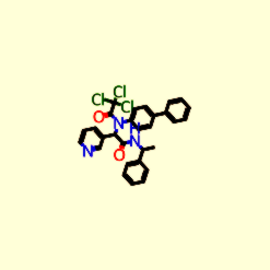 CC(NC(=O)C(c1cccnc1)N(C(=O)C(Cl)(Cl)Cl)c1ccc(-c2ccccc2)cc1)c1ccccc1